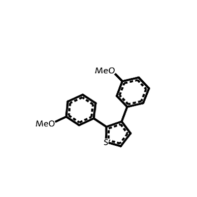 COc1cccc(-c2ccsc2-c2cccc(OC)c2)c1